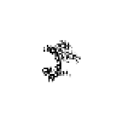 COC(=O)c1cncc(CN(C)C(=O)c2ccc(C[C@@H]3CC[C@H]([C@H](O[Si](C)(C)C(C)(C)C)c4ccc(Cl)cc4)N3C(=O)OC(C)(C)C)cc2)c1